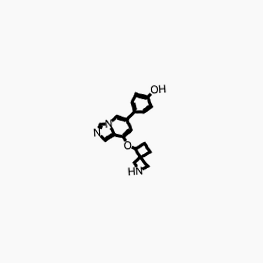 Oc1ccc(-c2cc(OC3CCC34CNC4)c3cncn3c2)cc1